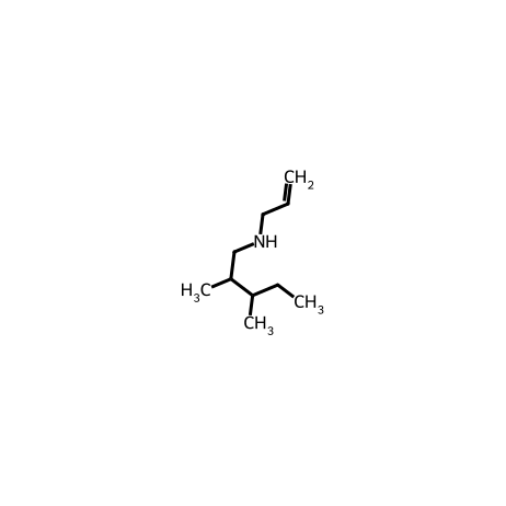 C=CCNCC(C)C(C)CC